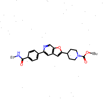 CCNC(=O)c1ccc(-c2cc3cc(C4CCN(C(=O)OC(C)(C)C)CC4)oc3cn2)cc1